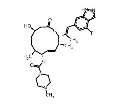 C/C(=C\c1cc(F)c2cn[nH]c2c1)[C@H]1OC(=O)C[C@H](O)CC[C@H](C)[C@@H](OC(=O)N2CCN(C)CC2)/C=C/[C@@H]1C